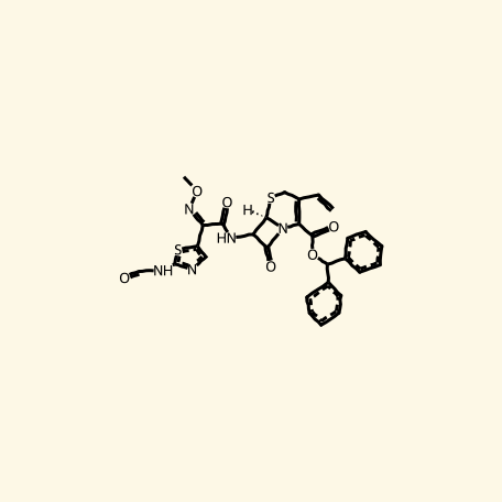 C=CC1=C(C(=O)OC(c2ccccc2)c2ccccc2)N2C(=O)C(NC(=O)/C(=N\OC)c3cnc(NC=O)s3)[C@H]2SC1